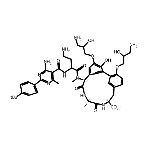 Cc1nc(-c2ccc(C(C)(C)C)cc2)nc(N)c1C(=O)NC(CCN)C(=O)N(C)[C@@H]1C(=O)N[C@@H](C)C(=O)N[C@H](C(=O)O)Cc2ccc(OCC(O)CN)c(c2)-c2cc1cc(OCC(O)CN)c2O